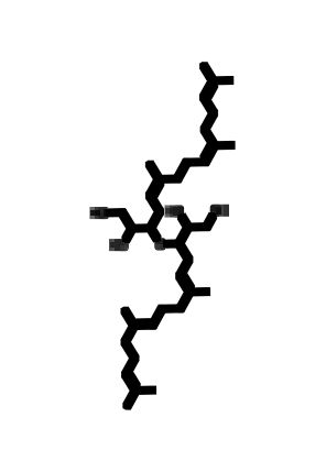 CC(C)=CCCC(C)=CCCC(C)=CCC(OC(CC=C(C)CCC=C(C)CCC=C(C)C)C(O)CO)C(O)CO